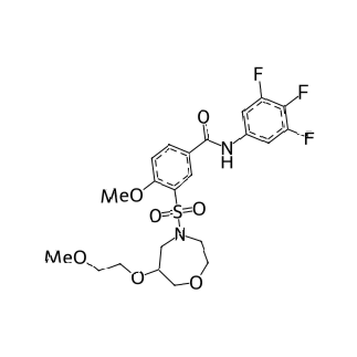 COCCOC1COCCN(S(=O)(=O)c2cc(C(=O)Nc3cc(F)c(F)c(F)c3)ccc2OC)C1